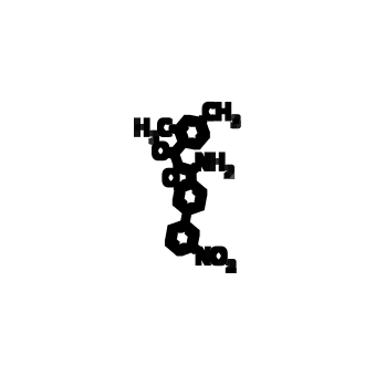 Cc1ccc(C(=O)c2oc3cc(-c4cccc([N+](=O)[O-])c4)ccc3c2N)c(C)c1